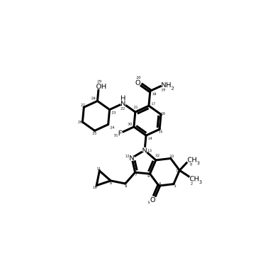 CC1(C)CC(=O)c2c(CC3CC3)nn(-c3ccc(C(N)=O)c(NC4CCCCC4O)c3F)c2C1